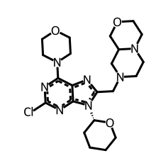 Clc1nc(N2CCOCC2)c2nc(CN3CCN4CCOCC4C3)n([C@H]3CCCCO3)c2n1